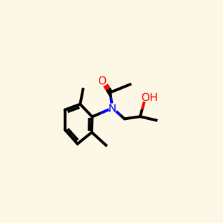 CC(=O)N(CC(C)O)c1c(C)cccc1C